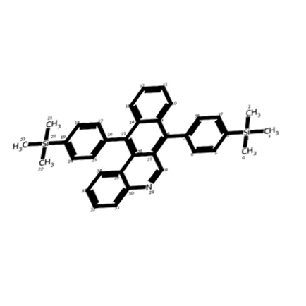 C[Si](C)(C)c1ccc(-c2c3ccccc3c(-c3ccc([Si](C)(C)C)cc3)c3c2cnc2ccccc23)cc1